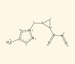 Cc1cnn(CC2CC2C(=O)N=O)c1